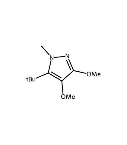 COc1nn(C)c(C(C)(C)C)c1OC